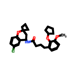 COc1cccc(CCCC(=O)NC2CC3(CCC3)Oc3ccc(Cl)cc32)c1OC1CCCC1